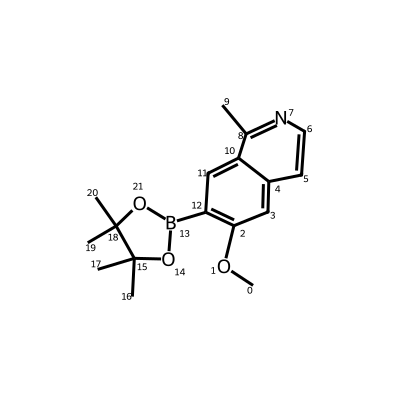 COc1cc2ccnc(C)c2cc1B1OC(C)(C)C(C)(C)O1